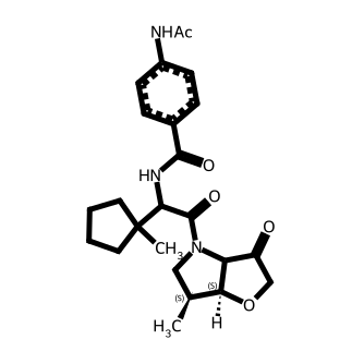 CC(=O)Nc1ccc(C(=O)NC(C(=O)N2C[C@H](C)[C@@H]3OCC(=O)C32)C2(C)CCCC2)cc1